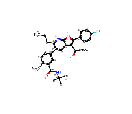 CNC(=O)c1c(-c2ccc(F)cc2)oc2nc(CCC(F)(F)F)c(-c3ccc(OC)c(C(=O)NC(C)(C)C#N)c3)cc12